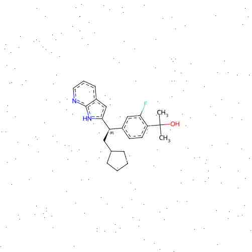 CC(C)(O)c1ccc([C@@H](CC2CCCC2)c2cc3cccnc3[nH]2)cc1F